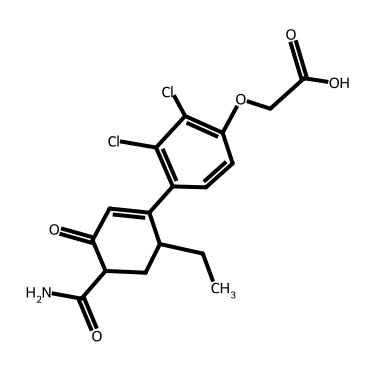 CCC1CC(C(N)=O)C(=O)C=C1c1ccc(OCC(=O)O)c(Cl)c1Cl